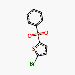 O=S(=O)(c1ccccc1)c1ccc(Br)s1